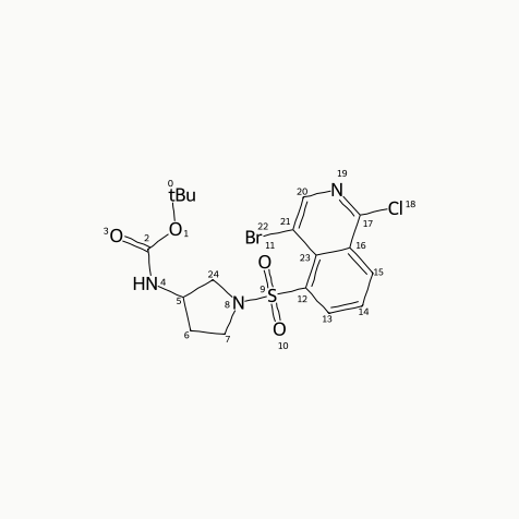 CC(C)(C)OC(=O)NC1CCN(S(=O)(=O)c2cccc3c(Cl)ncc(Br)c23)C1